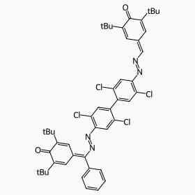 CC(C)(C)C1=CC(=C/N=N/c2cc(Cl)c(-c3cc(Cl)c(/N=N/C(=C4C=C(C(C)(C)C)C(=O)C(C(C)(C)C)=C4)c4ccccc4)cc3Cl)cc2Cl)C=C(C(C)(C)C)C1=O